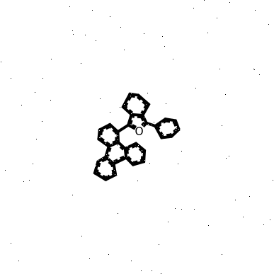 c1ccc(-c2oc(-c3cccc4c5ccccc5c5ccccc5c34)c3ccccc23)cc1